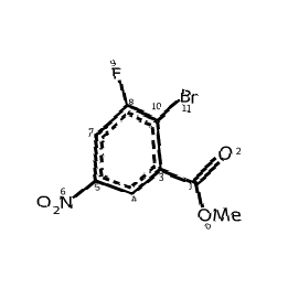 COC(=O)c1cc([N+](=O)[O-])cc(F)c1Br